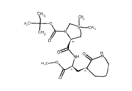 COC(=O)[C@H](C[C@@H]1CCCNC1=O)NC(=O)[C@@H]1C[Si](C)(C)CN1C(=O)OC(C)(C)C